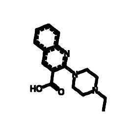 CCN1CCN(c2nc3ccccc3cc2C(=O)O)CC1